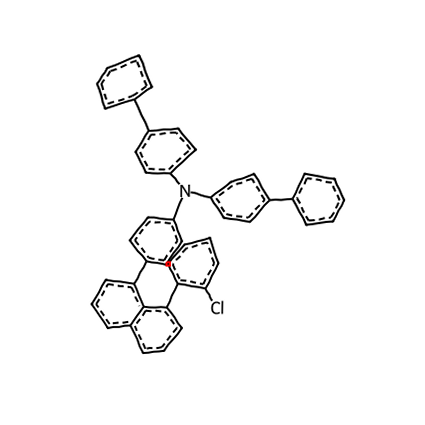 Clc1ccccc1-c1cccc2cccc(-c3ccc(N(c4ccc(-c5ccccc5)cc4)c4ccc(-c5ccccc5)cc4)cc3)c12